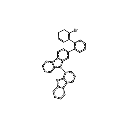 BrC1=C(c2ccccc2-c2ccc3c4ccccc4n(-c4cccc5c4sc4ccccc45)c3c2)C=CCC1